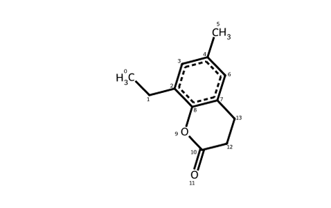 CCc1cc(C)cc2c1OC(=O)CC2